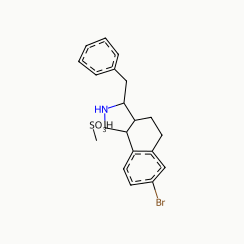 Brc1ccc2c(c1)CCC1C(Cc3ccccc3)NCC21.CS(=O)(=O)O